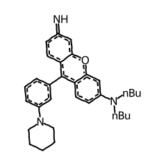 CCCCN(CCCC)c1ccc2c(-c3cccc(N4CCCCC4)c3)c3ccc(=N)cc-3oc2c1